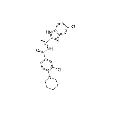 C[C@H](NC(=O)c1ccc(N2CCCCC2)c(Cl)c1)c1nc2cc(Cl)ccc2[nH]1